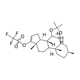 C[C@H]1CC[C@@]2(C)[C@H](C1)[C@H]1OC(C)(C)O[C@@H]1[C@@H]1[C@@H]2CC[C@]2(C)C(OS(=O)(=O)C(F)(F)F)=CC[C@@H]12